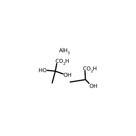 CC(O)(O)C(=O)O.CC(O)C(=O)O.[AlH3]